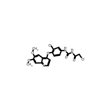 COc1cc2nccc(Oc3ccc(NC(=O)NC(=O)CCl)cc3Cl)c2cc1OC